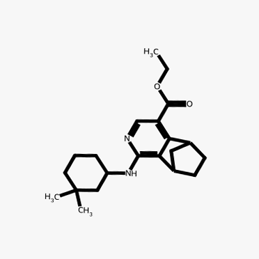 CCOC(=O)c1cnc(NC2CCCC(C)(C)C2)c2c1C1CCC2C1